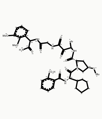 CCCC(NC(=O)[C@@H]1C[C@@H](OC(C)(C)C)CN1C(=O)[C@@H](NC(=O)c1ccccc1C(=O)O)C1CCCCC1)C(=O)C(=O)NCC(=O)NC(C(N)=O)c1cccc(OC)c1OC